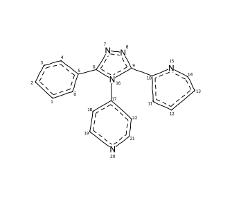 [c]1ccccc1-c1nnc(-c2ccccn2)n1-c1ccncc1